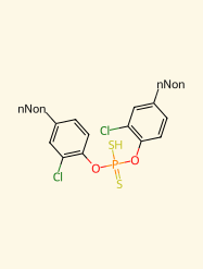 CCCCCCCCCc1ccc(OP(=S)(S)Oc2ccc(CCCCCCCCC)cc2Cl)c(Cl)c1